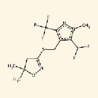 Cn1nc(C(F)(F)F)c(CSC2=NOC(C)(C)C2)c1C(F)F